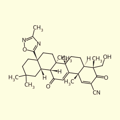 Cc1noc([C@]23CCC(C)(C)C[C@H]2[C@H]2C(=O)C=C4[C@@]5(C)C=C(C#N)C(=O)[C@@](C)(CO)[C@@H]5CC[C@@]4(C)[C@]2(C)CC3)n1